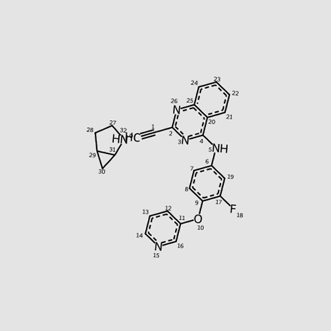 C#Cc1nc(Nc2ccc(Oc3cccnc3)c(F)c2)c2ccccc2n1.C1CC2CC2N1